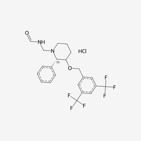 Cl.O=CNCN1CCCC(OCc2cc(C(F)(F)F)cc(C(F)(F)F)c2)[C@@H]1c1ccccc1